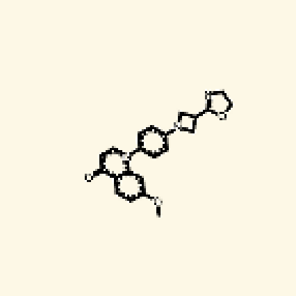 COc1ccc2c(=O)ccn(-c3ccc(N4CC(C5=NCCO5)C4)cc3)c2c1